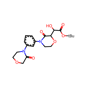 CC(C)(C)OC(=O)C(O)C1OCCN(c2cccc(N3CCOCC3=O)c2)C1=O